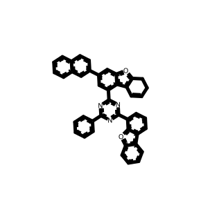 C1=Cc2c(oc3cc(-c4ccc5ccccc5c4)cc(-c4nc(-c5ccccc5)nc(-c5cccc6c5oc5ccccc56)n4)c23)CC1